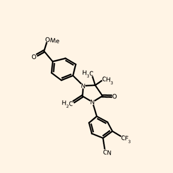 C=C1N(c2ccc(C#N)c(C(F)(F)F)c2)C(=O)C(C)(C)N1c1ccc(C(=O)OC)cc1